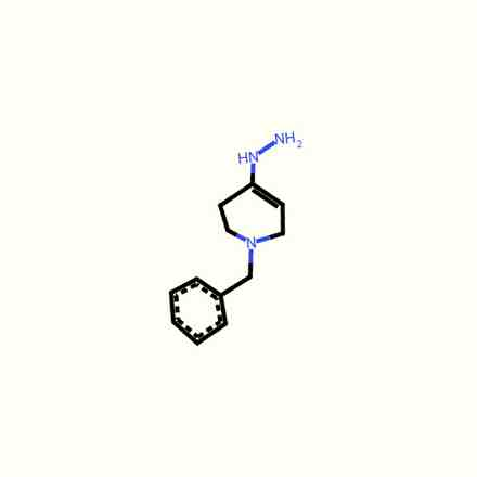 NNC1=CCN(Cc2ccccc2)CC1